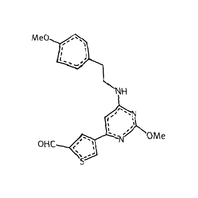 COc1ccc(CCNc2cc(-c3csc(C=O)c3)nc(OC)n2)cc1